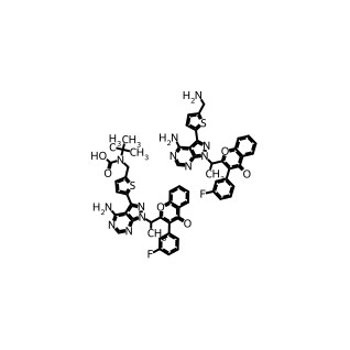 CC(c1oc2ccccc2c(=O)c1-c1cccc(F)c1)n1nc(-c2ccc(CN(C(=O)O)C(C)(C)C)s2)c2c(N)ncnc21.CC(c1oc2ccccc2c(=O)c1-c1cccc(F)c1)n1nc(-c2ccc(CN)s2)c2c(N)ncnc21